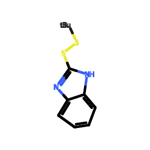 CC(C)(C)SSc1nc2ccccc2[nH]1